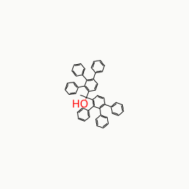 CC(O)(c1ccc(-c2ccccc2)c(-c2ccccc2)c1-c1ccccc1)c1ccc(-c2ccccc2)c(-c2ccccc2)c1-c1ccccc1